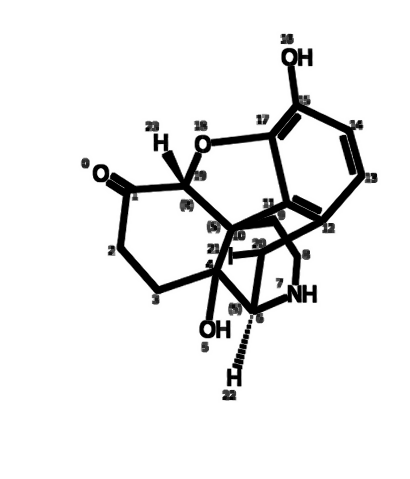 O=C1CCC2(O)[C@@H]3NCC[C@@]24c2c(ccc(O)c2O[C@@H]14)C3I